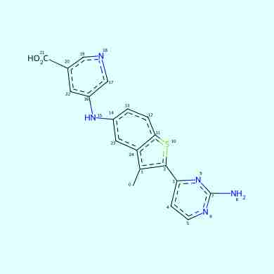 Cc1c(-c2ccnc(N)n2)sc2ccc(Nc3cncc(C(=O)O)c3)cc12